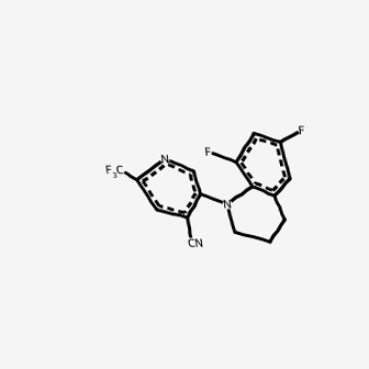 N#Cc1cc(C(F)(F)F)ncc1N1CCCc2cc(F)cc(F)c21